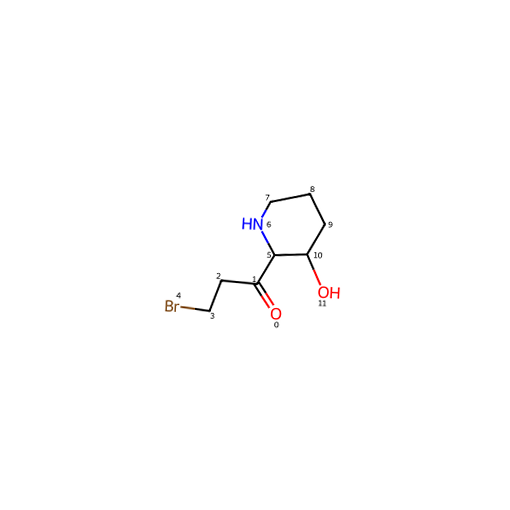 O=C(CCBr)C1NCCCC1O